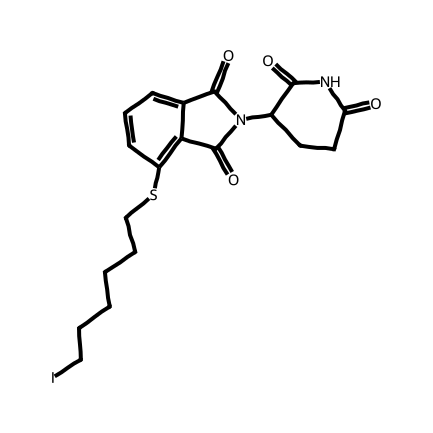 O=C1CCC(N2C(=O)c3cccc(SCCCCCCI)c3C2=O)C(=O)N1